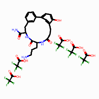 NCCCC1NC(=O)CCc2cc(ccc2O)-c2cccc(c2)CC(C(N)=O)NC1=O.O=C(O)C(F)(F)F.O=C(O)C(F)(F)F.O=C(O)C(F)(F)F.O=C(O)C(F)(F)F.O=C(O)C(F)(F)F